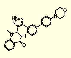 CN1c2ccccc2C(=O)NC1c1n[nH]nc1-c1cccc(-c2ccc(N3CCOCC3)cc2)c1